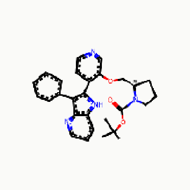 CC(C)(C)OC(=O)N1CCC[C@@H]1COc1cnccc1-c1[nH]c2cccnc2c1-c1ccccc1